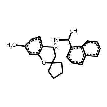 Cc1ccc2c(c1)OC1(CCCC1)C[C@H]2NC(C)c1cccc2ccccc12